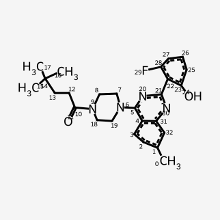 Cc1ccc2c(N3CCN(C(=O)CCC(C)(C)C)CC3)nc(-c3c(O)cccc3F)nc2c1